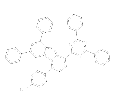 N#Cc1ccc(-c2ccc(-c3nc(-c4ccccc4)nc(-c4ccccc4)n3)c3oc4c(-c5ccccc5)cc(-c5ccccc5)cc4c23)cc1